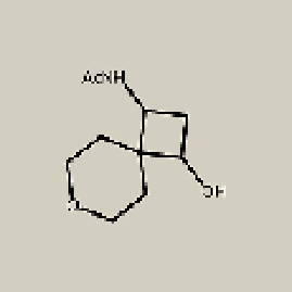 CC(=O)NC1CC(O)C12CCOCC2